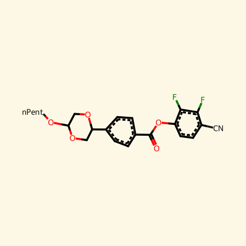 CCCCCOC1COC(c2ccc(C(=O)Oc3ccc(C#N)c(F)c3F)cc2)CO1